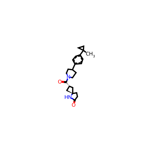 CC1(c2ccc(C3CCN(C(=O)[C@H]4C[C@]5(CCC(=O)N5)C4)CC3)cc2)CC1